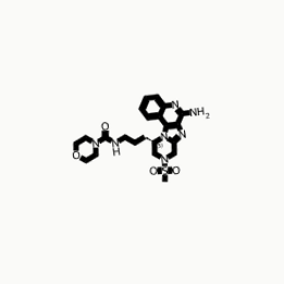 CS(=O)(=O)N1Cc2nc3c(N)nc4ccccc4c3n2[C@@H](CCCNC(=O)N2CCOCC2)C1